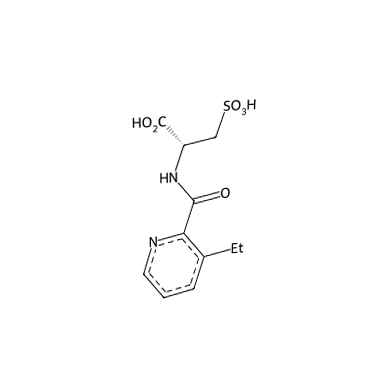 CCc1cccnc1C(=O)N[C@@H](CS(=O)(=O)O)C(=O)O